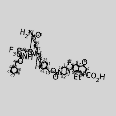 CCn1c(C(=O)O)cc(=O)c2cc(F)c(N3CCN(C(=O)OCc4ccc(NC[C@@H](CCCNC(N)=O)NC[C@@H](CC(F)(F)F)NC(=O)OCc5ccccc5)cc4)CC3)cc21